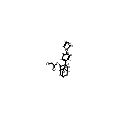 O=CC(=O)NC1C2CC3CC(C2)CC1(c1ccc(-n2ccnc2)cc1)C3